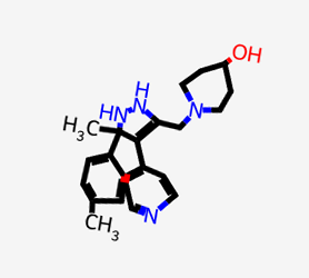 Cc1ccc(C2(C)NNC(CN3CCC(O)CC3)=C2c2ccncc2)cc1